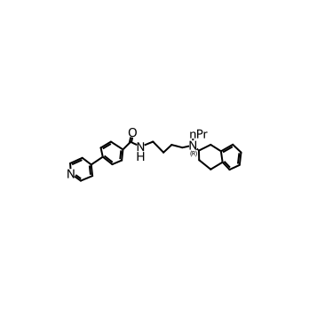 CCCN(CCCCNC(=O)c1ccc(-c2ccncc2)cc1)[C@@H]1CCc2ccccc2C1